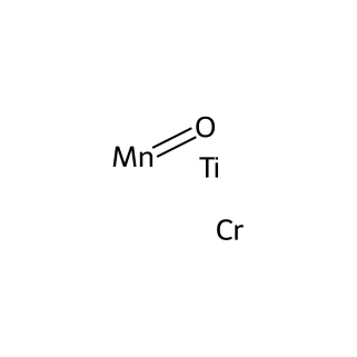 [Cr].[O]=[Mn].[Ti]